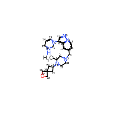 CC1CN(Cc2ccn3ncc(N4C=CCNC4)c3c2)CCN1C1CC2(COC2)C1